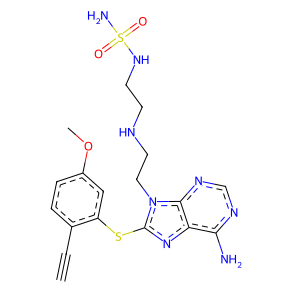 C#Cc1ccc(OC)cc1Sc1nc2c(N)ncnc2n1CCNCCNS(N)(=O)=O